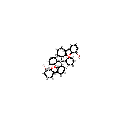 Brc1cccc2c1oc1c([Si](c3ccccc3)(c3ccccc3)c3cccc4c3oc3c(Br)cccc34)cccc12